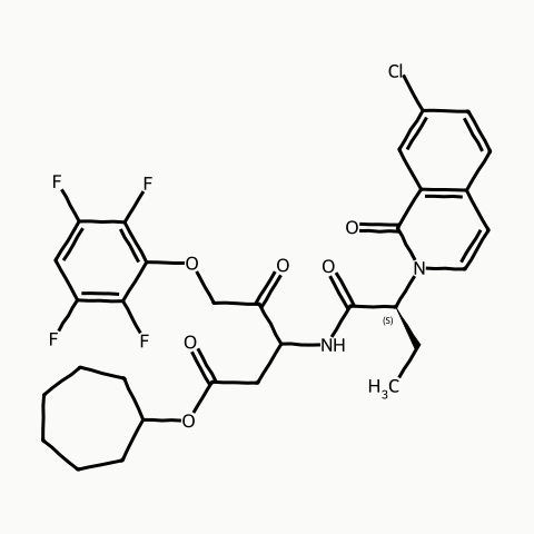 CC[C@@H](C(=O)NC(CC(=O)OC1CCCCCC1)C(=O)COc1c(F)c(F)cc(F)c1F)n1ccc2ccc(Cl)cc2c1=O